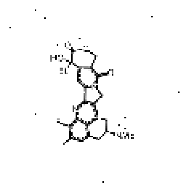 CC[C@@]1(O)C(=O)OCc2c1cc1n(c2=O)Cc2c-1nc1c(F)c(C)cc3c1c2C[C@@H](NC)C3